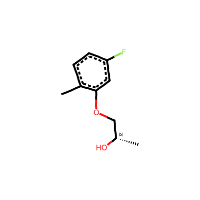 Cc1ccc(F)cc1OC[C@H](C)O